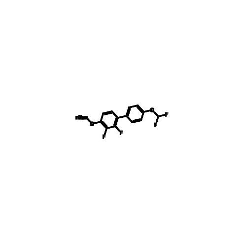 CCCCCCCCCOc1ccc(-c2ccc(OC(F)F)cc2)c(F)c1F